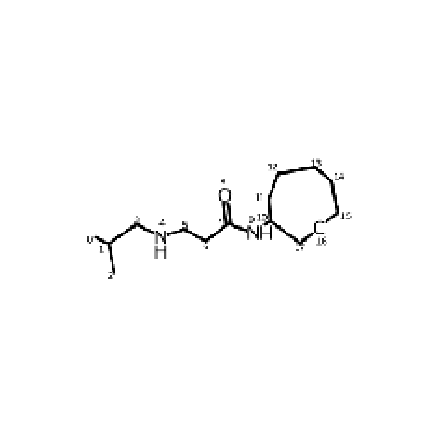 CC(C)CNCCC(=O)NC1CCCCCCC1